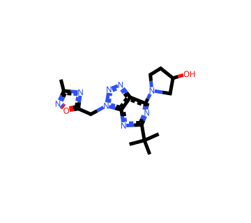 Cc1noc(Cn2nnc3c(N4CCC(O)C4)nc(C(C)(C)C)nc32)n1